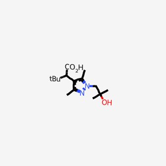 Cc1nn(CC(C)(C)O)c(C)c1C(C(=O)O)C(C)(C)C